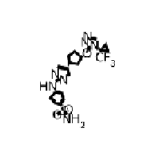 NS(=O)(=O)c1ccc(Nc2ncc([C@@H]3CC[C@H](Oc4nncn4C4(C(F)(F)F)CC4)C3)cn2)cc1